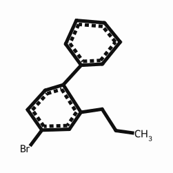 CCCc1cc(Br)ccc1-c1ccccc1